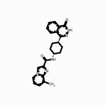 Cc1cccn2cc(C(=O)N[C@H]3CC[C@H](c4n[nH]c(=O)c5ccccc54)CC3)nc12